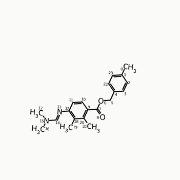 Cc1ccc(COC(=O)c2ccc(/N=C/N(C)C)c(C)c2C)cc1